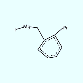 CC(C)c1ccccc1[CH2][Mg][I]